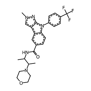 CC(NC(=O)c1ccc2c(c1)c1cn(C)nc1n2-c1ccc(C(F)(F)F)cc1)C(C)N1CCOCC1